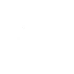 O=C(O)c1ccc(-c2cc(C(=O)c3c(Cl)cccc3Cl)n3c2CCCC3)cc1